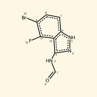 O=CNc1n[nH]c2ccc(Br)c(F)c12